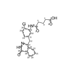 O=C(O)CCCC(=O)Nc1cc(Cc2n[nH]c(=O)c3ccccc23)ccc1Cl